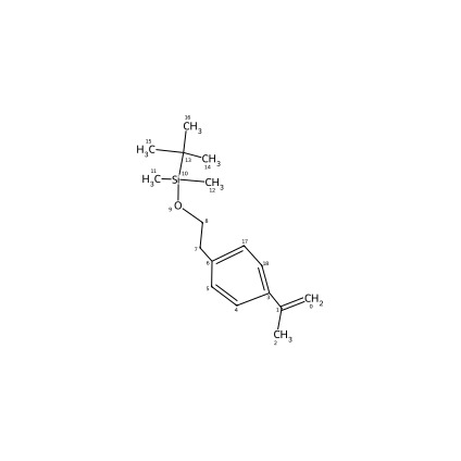 C=C(C)c1ccc(CCO[Si](C)(C)C(C)(C)C)cc1